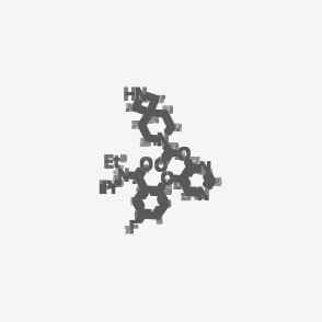 CCN(C(=O)c1cc(F)ccc1Oc1cncnc1OC(=O)N1CCC2(CC1)CNC2)C(C)C